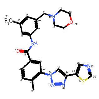 Cc1ccc(C(=O)Nc2cc(CN3CCOCC3)cc(C(F)(F)F)c2)cc1-n1cc(-c2cncs2)nn1